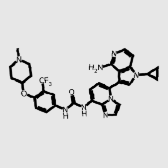 CN1CCC(Oc2ccc(NC(=O)Nc3ccc(-c4cn(C5CC5)c5ccnc(N)c45)n4ccnc34)cc2C(F)(F)F)CC1